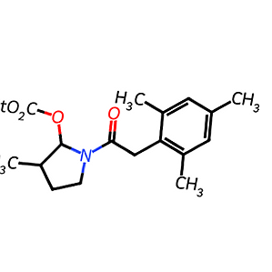 CCOC(=O)OC1C(C)CCN1C(=O)Cc1c(C)cc(C)cc1C